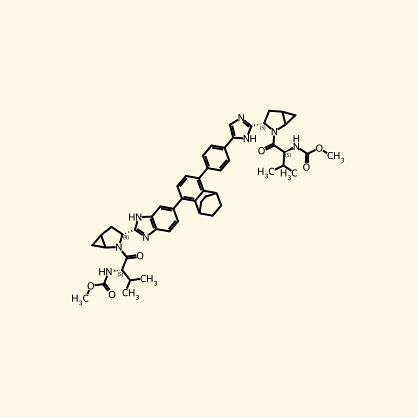 COC(=O)N[C@H](C(=O)N1C2CC2C[C@@H]1c1nc2ccc(-c3ccc(-c4ccc(-c5cnc([C@@H]6CC7CC7N6C(=O)[C@@H](NC(=O)OC)C(C)C)[nH]5)cc4)c4c3C3CCC4CC3)cc2[nH]1)C(C)C